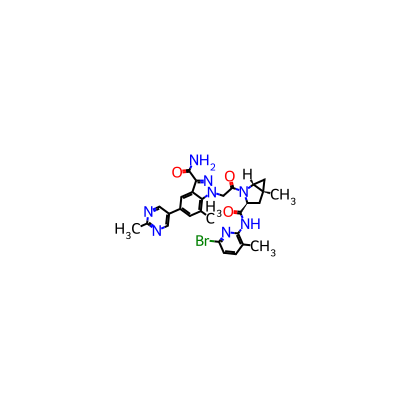 Cc1ncc(-c2cc(C)c3c(c2)c(C(N)=O)nn3CC(=O)N2[C@H](C(=O)Nc3nc(Br)ccc3C)C[C@@]3(C)C[C@@H]23)cn1